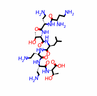 CC(C)C[C@H](NC(=O)[C@@H](NC(=O)[C@H](CCN)NC(=O)[C@@H](N)CCN)[C@@H](C)O)C(=O)N[C@@H](CCN)C(=O)N[C@@H](CCN)C(=O)N[C@H](C(=O)O)[C@@H](C)O